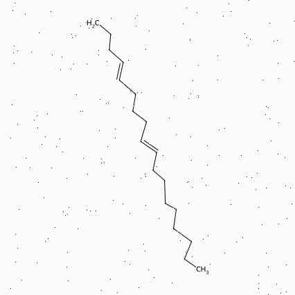 [CH2]CCC=CCCCC=CCCCCCCCC